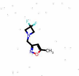 Cc1cc(CN2CC(F)(F)C2)no1